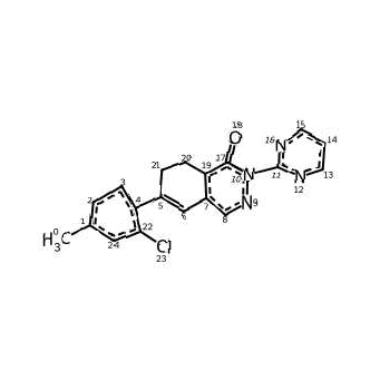 Cc1ccc(C2=Cc3cnn(-c4ncccn4)c(=O)c3CC2)c(Cl)c1